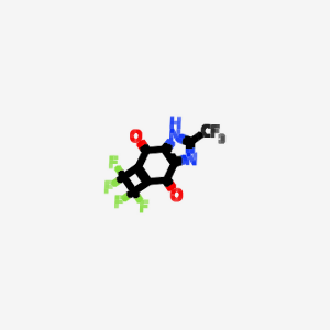 O=C1C2=C(C(=O)c3[nH]c(C(F)(F)F)nc31)C(F)(F)C2(F)F